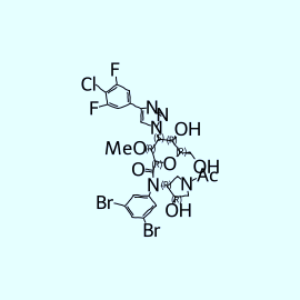 CO[C@@H]1[C@@H](n2cc(-c3cc(F)c(Cl)c(F)c3)nn2)[C@@H](O)[C@@H](CO)O[C@H]1C(=O)N(c1cc(Br)cc(Br)c1)[C@@H]1CN(C(C)=O)C[C@H]1O